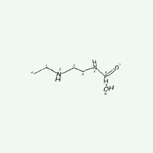 CCNCCN[PH](=O)O